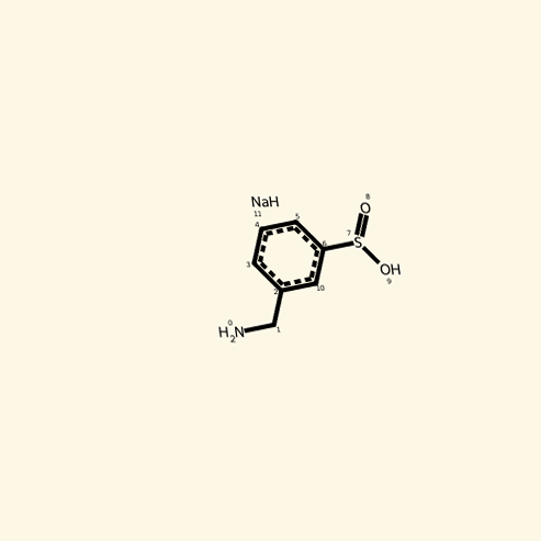 NCc1cccc(S(=O)O)c1.[NaH]